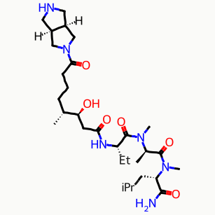 CC[C@H](NC(=O)C[C@H](O)[C@H](C)CCCC(=O)N1C[C@H]2CNC[C@H]2C1)C(=O)N(C)[C@H](C)C(=O)N(C)[C@@H](CC(C)C)C(N)=O